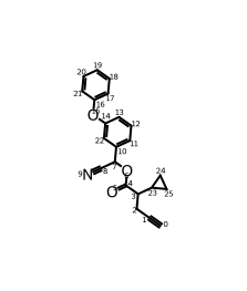 C#CCC(C(=O)OC(C#N)c1cccc(Oc2ccccc2)c1)C1CC1